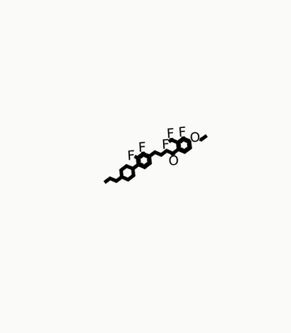 CCCC1CCC(c2ccc(CCCC(=O)c3ccc(OCC)c(F)c3C(F)F)c(F)c2F)CC1